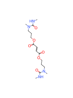 CNC(=O)N(C)CCCOC(=O)/C=C/C(=O)OCCCN(C)C(=O)NC